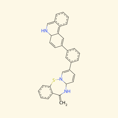 C=C1NC2C=CC(c3cccc(C4=CC5=c6ccccc6=CNC5C=C4)c3)=CN2Sc2ccccc21